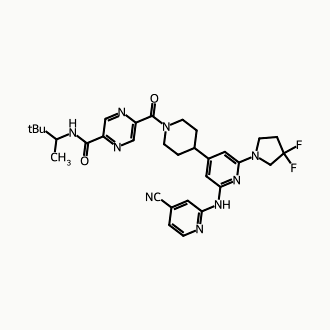 CC(NC(=O)c1cnc(C(=O)N2CCC(c3cc(Nc4cc(C#N)ccn4)nc(N4CCC(F)(F)C4)c3)CC2)cn1)C(C)(C)C